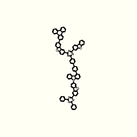 c1ccc(-c2nc(-c3ccccc3)nc(-c3ccc4oc5cc(-n6c7ccccc7c7c(-c8ccc(-c9ccc(-c%10nc(-c%11ccc%12c(c%11)oc%11ccccc%11%12)nc(-c%11ccc%12oc%13ccc(-c%14ccc%15c%16ccccc%16c%16ccccc%16c%15c%14)cc%13c%12c%11)n%10)cc9)cc8)cccc76)ccc5c4c3)n2)cc1